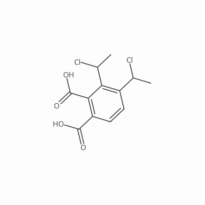 CC(Cl)c1ccc(C(=O)O)c(C(=O)O)c1C(C)Cl